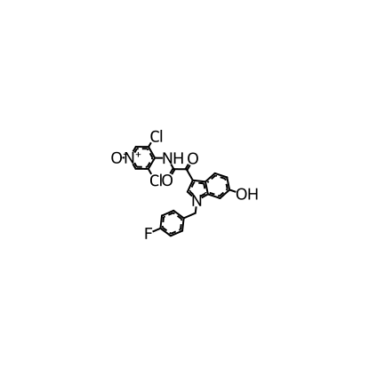 O=C(Nc1c(Cl)c[n+]([O-])cc1Cl)C(=O)c1cn(Cc2ccc(F)cc2)c2cc(O)ccc12